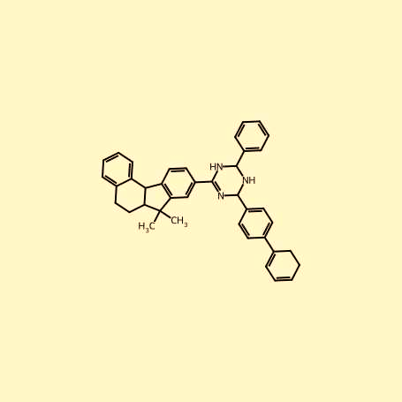 CC1(C)c2cc(C3=NC(c4ccc(C5=CC=CCC5)cc4)NC(c4ccccc4)N3)ccc2C2c3ccccc3CCC21